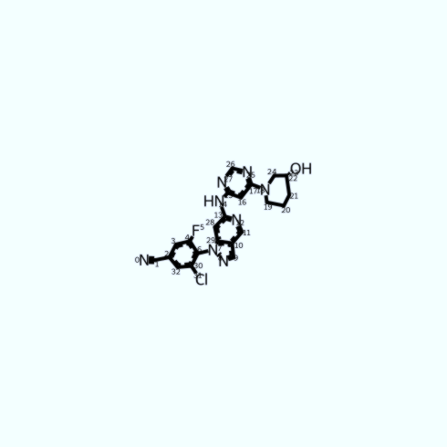 N#Cc1cc(F)c(-n2ncc3cnc(Nc4cc(N5CCC[C@H](O)C5)ncn4)cc32)c(Cl)c1